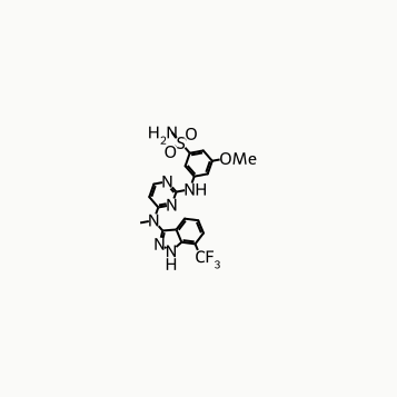 COc1cc(Nc2nccc(N(C)c3n[nH]c4c(C(F)(F)F)cccc34)n2)cc(S(N)(=O)=O)c1